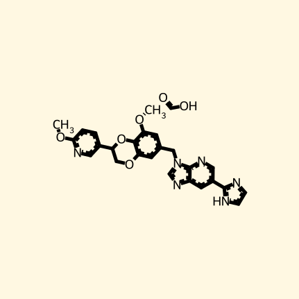 COc1ccc(C2COc3cc(Cn4cnc5cc(-c6ncc[nH]6)cnc54)cc(OC)c3O2)cn1.O=CO